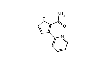 NC(=O)c1[nH]ccc1-c1ccccn1